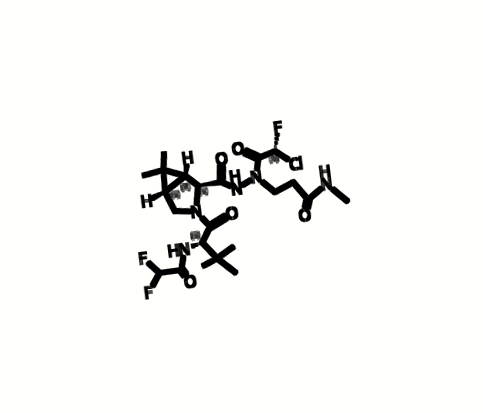 CNC(=O)CCN(NC(=O)[C@@H]1[C@@H]2[C@H](CN1C(=O)[C@@H](NC(=O)C(F)F)C(C)(C)C)C2(C)C)C(=O)[C@H](F)Cl